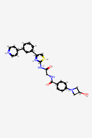 O=C(CNC(=O)c1ccc(N2CC(O)C2)cc1)Nc1nc(-c2cccc(-c3ccncc3)c2)cs1